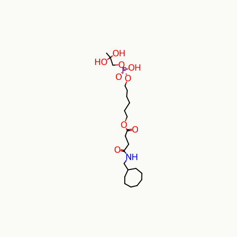 CC(O)(O)COP(=O)(O)OCCCCCCOC(=O)CCC(=O)NCC1CCCCCCC1